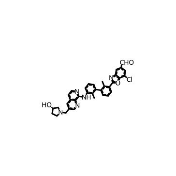 Cc1c(Nc2nccc3cc(CN4CC[C@@H](O)C4)cnc23)cccc1-c1cccc(-c2nc3cc(C=O)cc(Cl)c3o2)c1C